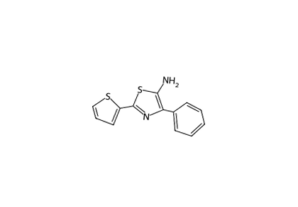 Nc1sc(-c2cccs2)nc1-c1ccccc1